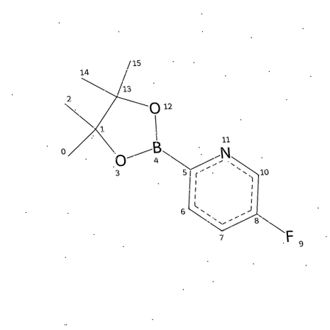 CC1(C)OB(c2ccc(F)cn2)OC1(C)C